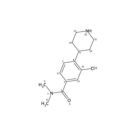 CN(C)C(=O)c1ccc(C2CCNCC2)c(Cl)c1